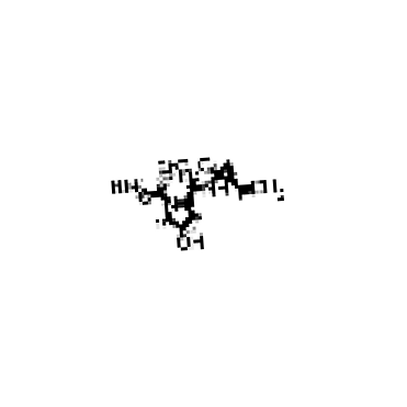 C=CC1CC1(NC(=O)C1C[C@@H](O)CN1C(=O)OC(C)(C)C)C(=O)OCC